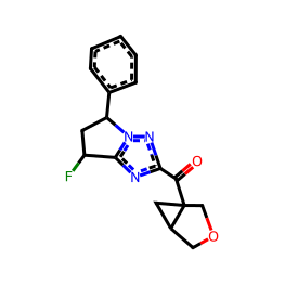 O=C(c1nc2n(n1)C(c1ccccc1)CC2F)C12COCC1C2